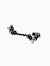 Cc1cc(S(=O)(=O)NCCCCCCCCCc2ccc3c(c2)n(C)c(=O)n3C2CCC(=O)NC2=O)ccc1Nc1ncc2cc(C(F)F)c(=O)n([C@@H]3CCC[C@@]3(C)O)c2n1